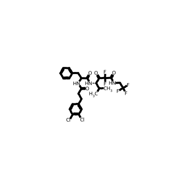 CC(C)[C@H](NC(=O)C(Cc1ccccc1)NC(=O)CCc1ccc(Cl)c(Cl)c1)C(=O)C(F)(F)C(=O)NCC(F)(F)F